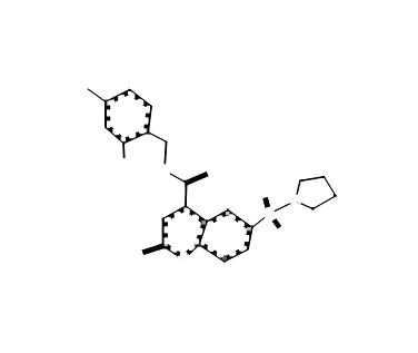 O=C(NCc1ccc(F)cc1Cl)c1cc(=O)[nH]c2ccc(S(=O)(=O)N3CCCC3)cc12